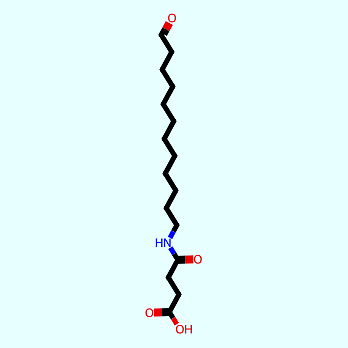 O=CCCCCCCCCCCCNC(=O)CCC(=O)O